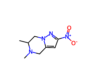 CC1Cn2nc([N+](=O)[O-])cc2CN1C